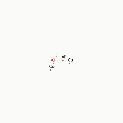 [Al].[Co].[Cu].[Li].[O]